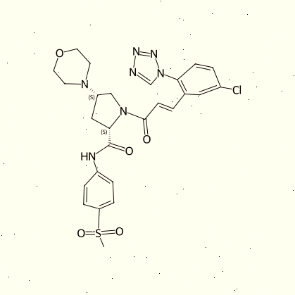 CS(=O)(=O)c1ccc(NC(=O)[C@@H]2C[C@H](N3CCOCC3)CN2C(=O)C=Cc2cc(Cl)ccc2-n2cnnn2)cc1